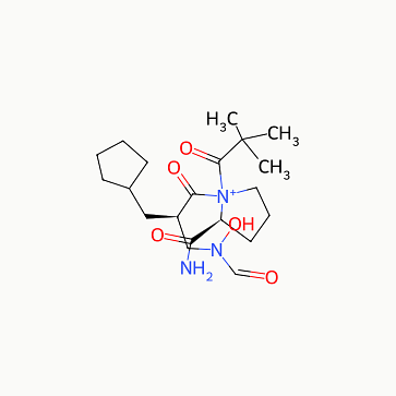 CC(C)(C)C(=O)[N+]1(C(=O)[C@H](CC2CCCC2)CN(O)C=O)CCC[C@H]1C(N)=O